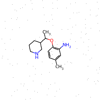 Cc1ccc(OC(C)C2CCCNC2)c(N)c1